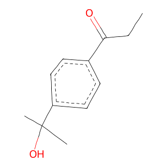 CCC(=O)c1ccc(C(C)(C)O)cc1